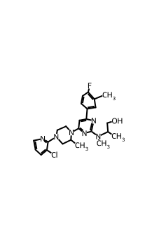 Cc1cc(-c2cc(N3CCN(c4ncccc4Cl)CC3C)nc(N(C)C(C)CO)n2)ccc1F